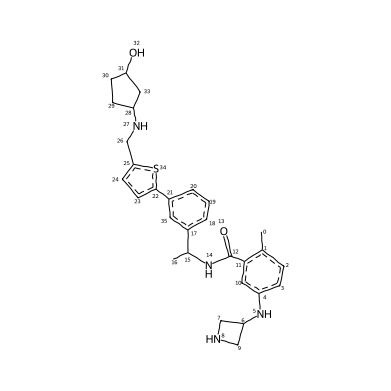 Cc1ccc(NC2CNC2)cc1C(=O)NC(C)c1cccc(-c2ccc(CNC3CCC(O)C3)s2)c1